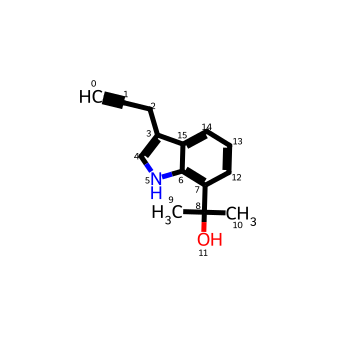 C#CCc1c[nH]c2c(C(C)(C)O)cccc12